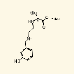 CC(C)(C)OC(=O)[C@@H](NCCNCc1cccc(O)c1)C(C)(C)C